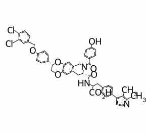 Cc1nccc(-c2ccc(CC(NC(=O)[C@@H]3Cc4cc5c(cc4CN3C(=O)c3ccc(O)cc3)O[C@@H](c3ccc(OCc4ccc(Cl)c(Cl)c4)cc3)CO5)C(=O)O)cc2)c1C